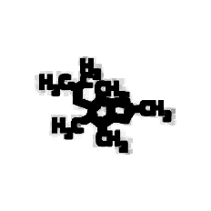 C=c1c(C)c(C=C(C)C)c(=C)c2sc(C)cc12